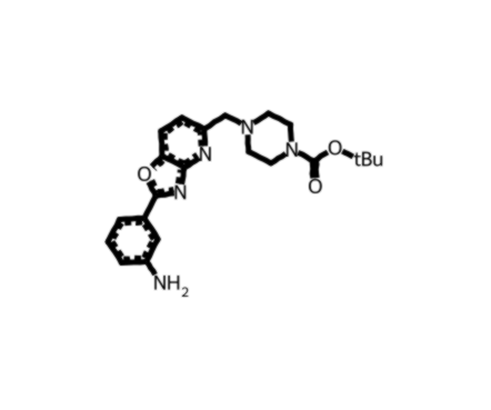 CC(C)(C)OC(=O)N1CCN(Cc2ccc3oc(-c4cccc(N)c4)nc3n2)CC1